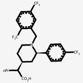 CCCC(C(=O)O)[C@H]1CCN(Cc2cc(C(F)(F)F)ccc2C(F)(F)F)[C@@H](c2ccc(C(F)(F)F)cc2)C1